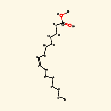 CCCCCCC/C=C\CCCCCCC(=O)OC